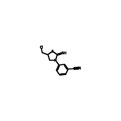 N#Cc1cccc(N2CC(CCl)SC2=N)c1